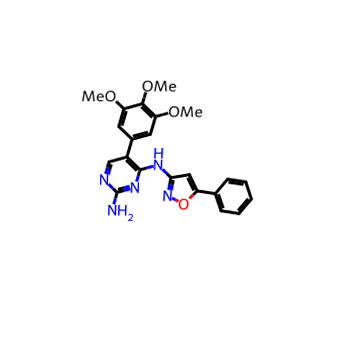 COc1cc(-c2cnc(N)nc2Nc2cc(-c3ccccc3)on2)cc(OC)c1OC